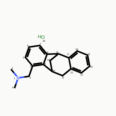 CN(C)Cc1cccc2c1C1Cc3ccccc3C2C1.Cl